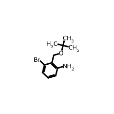 CC(C)(C)OCc1c(N)cccc1Br